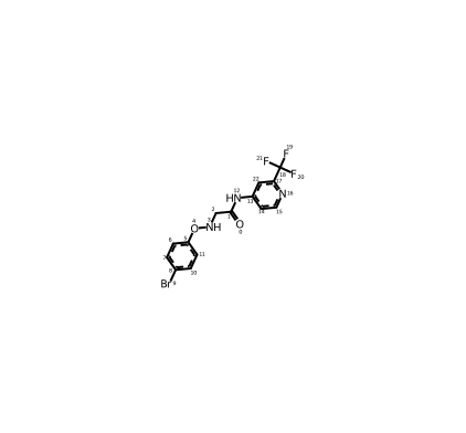 O=C(CNOc1ccc(Br)cc1)Nc1ccnc(C(F)(F)F)c1